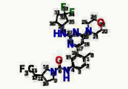 Cc1ccc(NC(=O)N2CC[C@@H](CC(F)(F)F)C2)cc1-c1cc(N2CCOCC2)nc(NC2CCC(F)(F)C2)n1